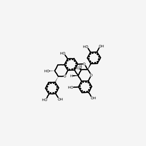 Oc1cc(O)c2c(c1)O[C@@]1(c3ccc(O)c(O)c3)Oc3cc(O)c4c(c3[C@@H]2[C@H]1O)O[C@H](c1ccc(O)c(O)c1)[C@H](O)C4